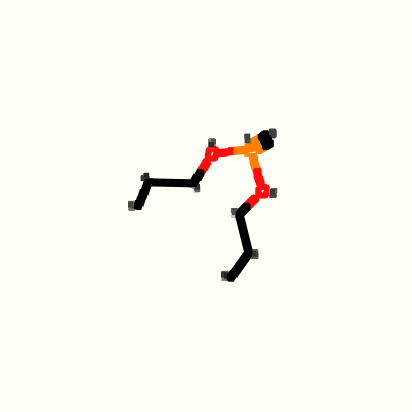 C#P(OCCC)OCCC